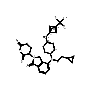 O=C1CCC(N2Cc3c(cccc3N(CCC3CC3)C3CCC(NC45CC(C(F)(F)F)(C4)C5)CC3)C2=O)C(=O)N1